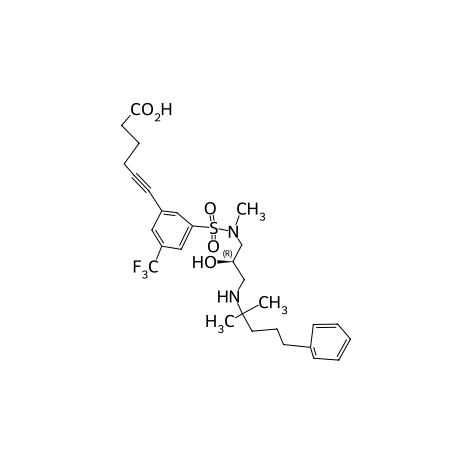 CN(C[C@H](O)CNC(C)(C)CCCc1ccccc1)S(=O)(=O)c1cc(C#CCCCC(=O)O)cc(C(F)(F)F)c1